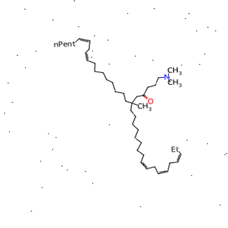 CC/C=C\C/C=C\C/C=C\CCCCCCCCC(C)(CCCCCCCC/C=C\C/C=C\CCCCC)CC(=O)CCCN(C)C